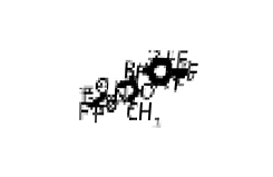 C[C@@H]1[C@@H](Oc2cc(C(F)(F)F)ccc2Br)CCN1OC(=O)C(F)(F)F